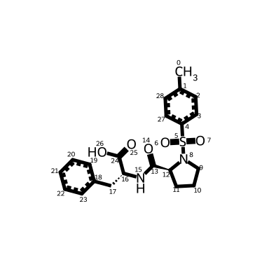 Cc1ccc(S(=O)(=O)N2CCC[C@H]2C(=O)N[C@H](Cc2ccccc2)C(=O)O)cc1